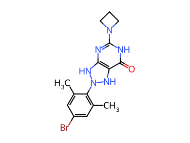 Cc1cc(Br)cc(C)c1N1Nc2nc(N3CCC3)[nH]c(=O)c2N1